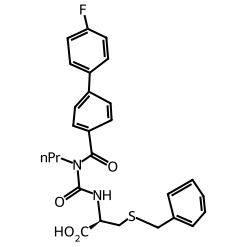 CCCN(C(=O)N[C@@H](CSCc1ccccc1)C(=O)O)C(=O)c1ccc(-c2ccc(F)cc2)cc1